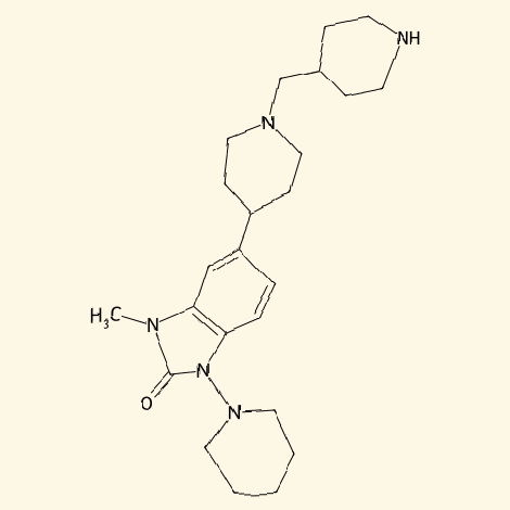 Cn1c(=O)n(N2CCCCC2)c2ccc(C3CCN(CC4CCNCC4)CC3)cc21